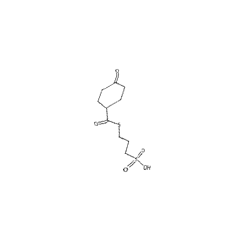 O=C1CCC(C(=O)SCCCS(=O)(=O)O)CC1